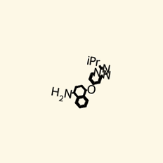 CC(C)c1nnc2cc(O[C@@H]3CC[C@H](N)c4ccccc43)ccn12